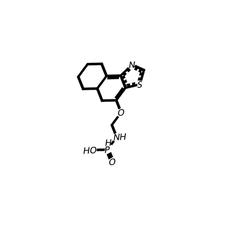 O=[PH](O)NCOC1=c2scnc2=C2CCCCC2C1